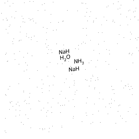 N.O.[NaH].[NaH]